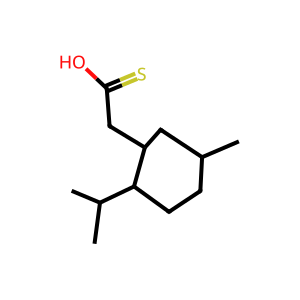 CC1CCC(C(C)C)C(CC(O)=S)C1